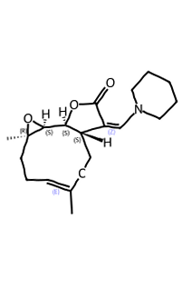 C/C1=C\CC[C@@]2(C)O[C@H]2[C@H]2OC(=O)/C(=C\N3CCCCC3)[C@@H]2CC1